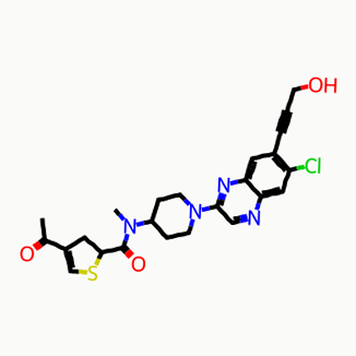 CC(=O)C1=CSC(C(=O)N(C)C2CCN(c3cnc4cc(Cl)c(C#CCO)cc4n3)CC2)C1